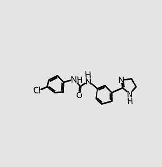 O=C(Nc1ccc(Cl)cc1)Nc1cccc(C2=NCCN2)c1